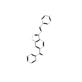 O=C(c1c[c]ccc1)c1ccc2c(C=Cc3ccccc3)n[nH]c2c1